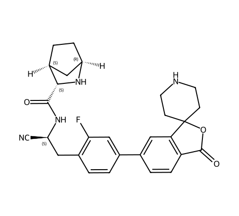 N#C[C@H](Cc1ccc(-c2ccc3c(c2)C2(CCNCC2)OC3=O)cc1F)NC(=O)[C@H]1N[C@@H]2CC[C@H]1C2